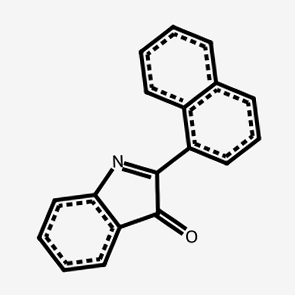 O=C1C(c2cccc3ccccc23)=Nc2ccccc21